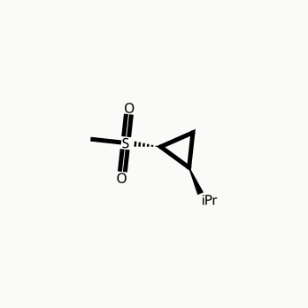 CC(C)[C@@H]1C[C@H]1S(C)(=O)=O